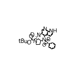 CC(C)(C)OC(=O)N1CCC(N(c2c([N+](=O)[O-])cnc3[nH]ccc23)S(=O)(=O)c2ccccc2)C1